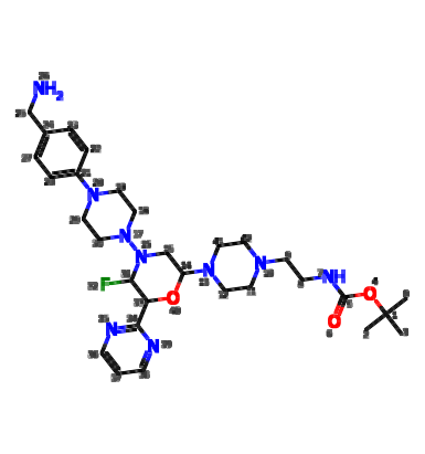 CC(C)(C)OC(=O)NCCN1CCN(C2CN(N3CCN(c4ccc(CN)cc4)CC3)C(F)C(c3ncccn3)O2)CC1